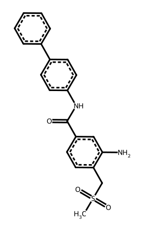 CS(=O)(=O)Cc1ccc(C(=O)Nc2ccc(-c3ccccc3)cc2)cc1N